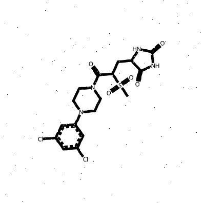 CS(=O)(=O)C(CC1NC(=O)NC1=O)C(=O)N1CCN(c2cc(Cl)cc(Cl)c2)CC1